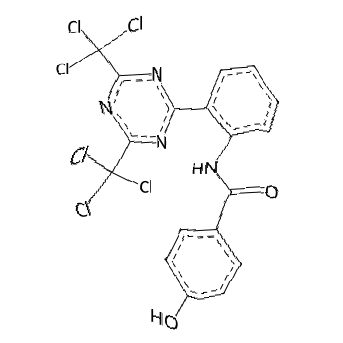 O=C(Nc1ccccc1-c1nc(C(Cl)(Cl)Cl)nc(C(Cl)(Cl)Cl)n1)c1ccc(O)cc1